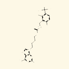 Nc1nc(Cl)nc2c1ncn2CCCCOC(=O)NCc1c(Cl)ccc(C(F)(F)F)c1Cl